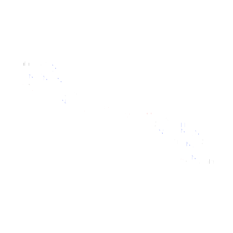 CC(Nc1nccc(N2C(=O)OCC2C(C)C)n1)c1ccc(OCCOCCOCCOc2ccc(CNc3nccc(N4C(=O)OCC4C(C)C)n3)nc2)cn1